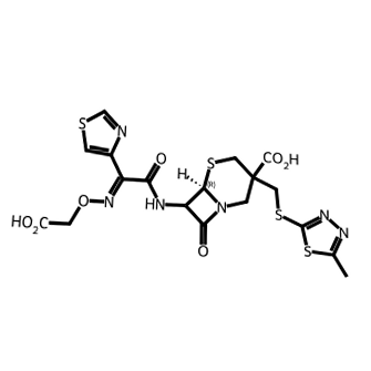 Cc1nnc(SCC2(C(=O)O)CS[C@@H]3C(NC(=O)C(=NOCC(=O)O)c4cscn4)C(=O)N3C2)s1